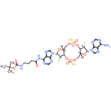 CC(C)(C)OC(=O)NCCCC(=O)Nc1ncnc2c1ncn2[C@@H]1O[C@@H]2CO[P@](=O)(S)OC3[C@@H](F)[C@H](n4cnc5c(N)ncnc54)O[C@@H]3CO[P@@](=O)(S)OC2[C@H]1F